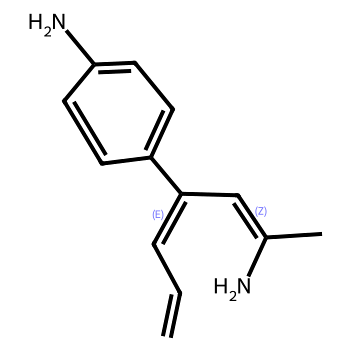 C=C/C=C(\C=C(\C)N)c1ccc(N)cc1